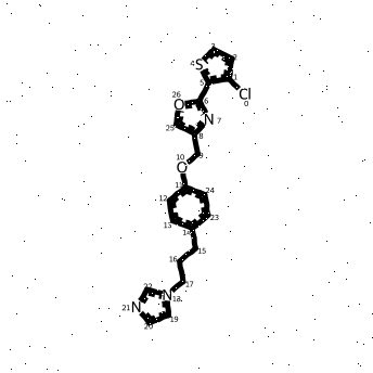 Clc1ccsc1-c1nc(COc2ccc(CCCn3ccnc3)cc2)co1